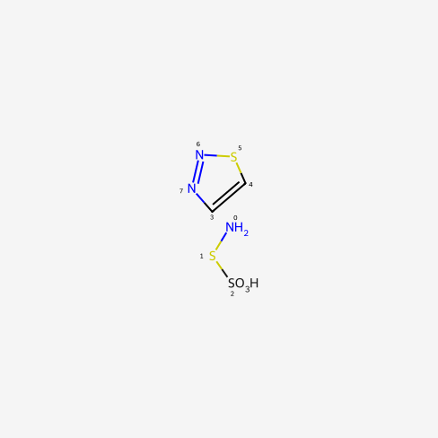 NSS(=O)(=O)O.c1csnn1